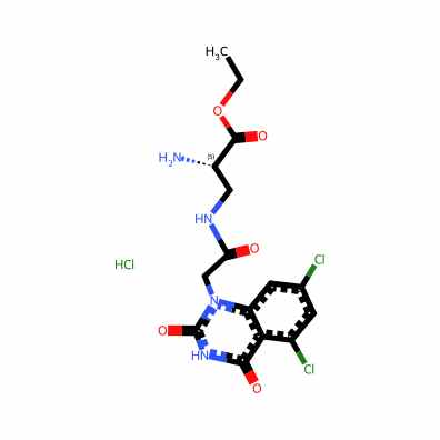 CCOC(=O)[C@@H](N)CNC(=O)Cn1c(=O)[nH]c(=O)c2c(Cl)cc(Cl)cc21.Cl